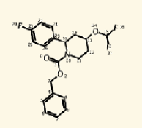 O=C(OCc1ccccc1)N1CC[C@H](OC(F)F)C[C@@H]1c1ccc(F)cc1